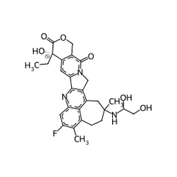 CC[C@@]1(O)C(=O)OCc2c1cc1n(c2=O)Cc2c-1nc1cc(F)c(C)c3c1c2CC(C)(NC(O)CO)CC3